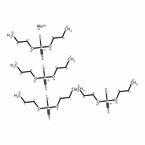 CCCOP(=S)([S-])OCCC.CCCOP(=S)([S-])OCCC.CCCOP(=S)([S-])OCCC.CCCOP(=S)([S-])OCCC.[Mo+4]